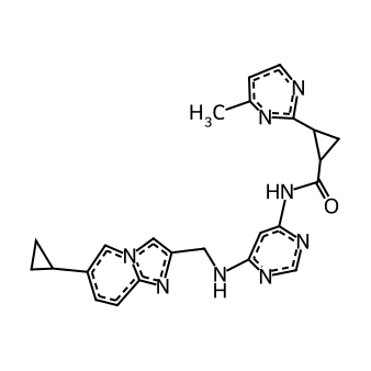 Cc1ccnc(C2CC2C(=O)Nc2cc(NCc3cn4cc(C5CC5)ccc4n3)ncn2)n1